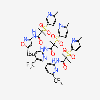 Cc1ccc(S(=O)(=O)C(C)(C)C(=O)Nc2cc(C(C)(C)C)on2)cn1.Cc1ccc(S(=O)(=O)C(C)(C)C(=O)Nc2ccc(C(F)(F)F)cn2)cn1.Cc1ccc(S(=O)(=O)C(C)(C)C(=O)Nc2cccc(C(F)(F)F)n2)cn1